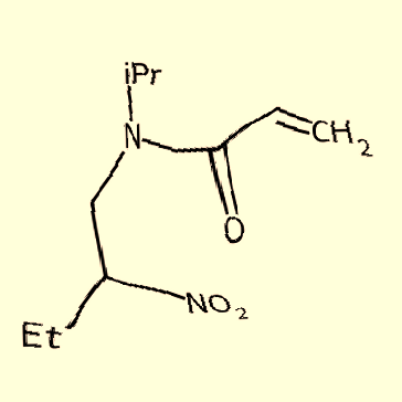 C=CC(=O)N(CC(CC)[N+](=O)[O-])C(C)C